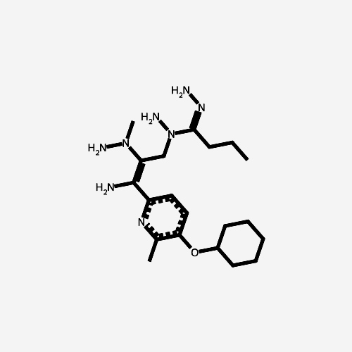 CCC/C(=N/N)N(N)C/C(=C(/N)c1ccc(OC2CCCCC2)c(C)n1)N(C)N